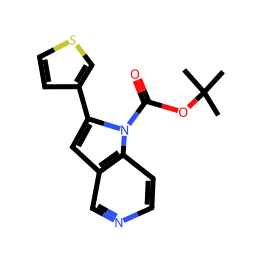 CC(C)(C)OC(=O)n1c(-c2ccsc2)cc2cnccc21